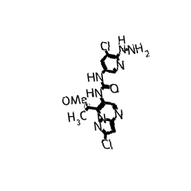 CO[C@@H](C)c1c(NC(=O)Nc2cnc(NN)c(Cl)c2)cnc2cc(Cl)nn12